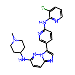 CN1CCC(Nc2ccc3ncc(-c4ccc(Nc5ncccc5F)nc4)n3n2)CC1